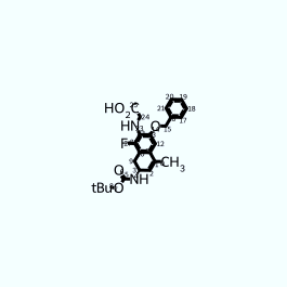 CC1=C[C@@H](NC(=O)OC(C)(C)C)Cc2c1cc(OCc1ccccc1)c(NCC(=O)O)c2F